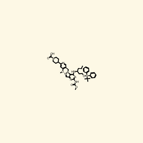 CCCC(CCO[Si](c1ccccc1)(c1ccccc1)C(C)(C)C)Nc1nc(NC(=O)OC)nc2cnn(Cc3cnc(C4CCN(C(=O)O)CC4)cc3OC)c12